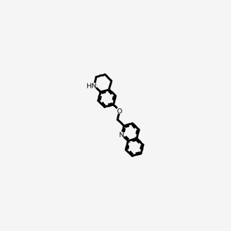 c1ccc2nc(COc3ccc4c(c3)CCCN4)ccc2c1